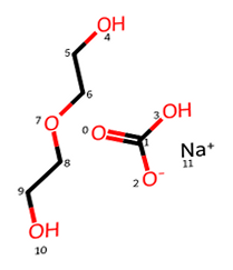 O=C([O-])O.OCCOCCO.[Na+]